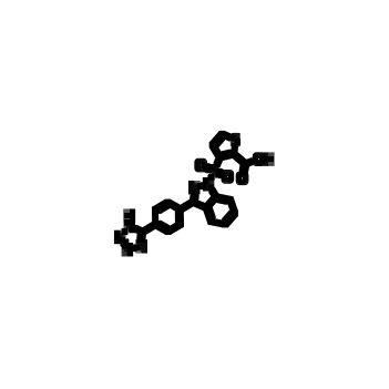 O=C(O)c1sccc1S(=O)(=O)n1nc(-c2ccc(-c3nnn[nH]3)cc2)c2ccccc21